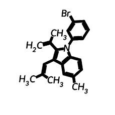 C=C(C)c1c(C=C(C)C)c2cc(C)ccc2n1-c1cccc(Br)c1